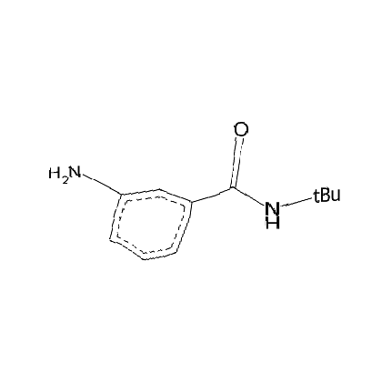 CC(C)(C)NC(=O)c1cccc(N)c1